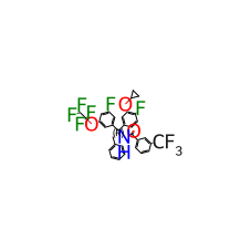 O=C(N[C@@](Cc1ccccc1)(c1cc(F)cc(OC(F)(F)C(F)F)c1)c1ccc(F)c(OC2CC2)c1)c1cccc(C(F)(F)F)c1